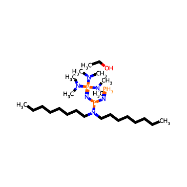 CCCCCCCCN(CCCCCCCC)P(N=[PH3])N=P(N(C)C)(N(C)C)N(C)C.CCO